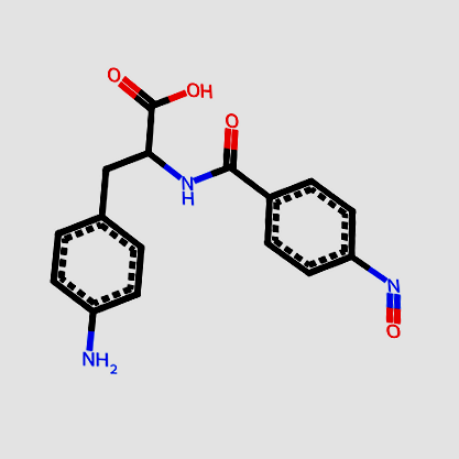 Nc1ccc(CC(NC(=O)c2ccc(N=O)cc2)C(=O)O)cc1